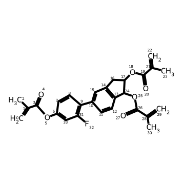 C=C(C)C(=O)Oc1ccc(-c2ccc3c(c2)CC(OC(=O)C(=C)C)C3OC(=O)C(=C)C)c(F)c1